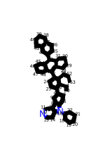 C=Cc1c(-c2ccc3c(c2)c2cnccc2n3-c2ccccc2)ccc(C2=C3C=CC=CC3C(c3ccc4ccccc4c3)c3ccccc32)c1/C=C\C